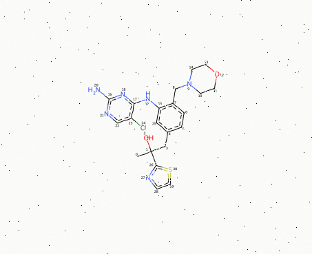 CC(O)(Cc1ccc(CN2CCOCC2)c(Nc2nc(N)ncc2Cl)c1)c1nccs1